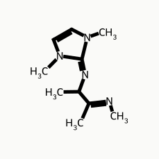 CN=C(C)C(C)N=c1n(C)ccn1C